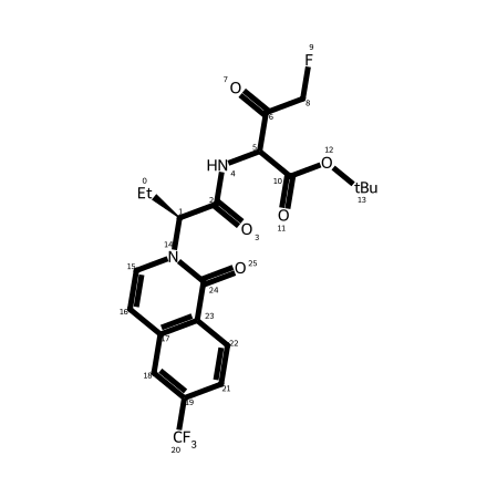 CC[C@@H](C(=O)NC(C(=O)CF)C(=O)OC(C)(C)C)n1ccc2cc(C(F)(F)F)ccc2c1=O